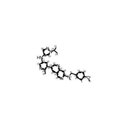 COc1ccc(CN(C)c2cc3ncc(-c4cc(Nc5cnn(C(C)C)c5)cnc4C)cc3cn2)cc1